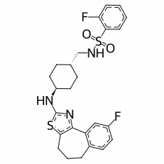 O=S(=O)(NC[C@H]1CC[C@H](Nc2nc3c(s2)CCCc2ccc(F)cc2-3)CC1)c1ccccc1F